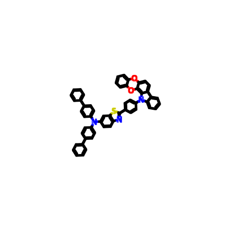 c1ccc(-c2ccc(N(c3ccc(-c4ccccc4)cc3)c3ccc4nc(-c5ccc(-n6c7ccccc7c7ccc8c(c76)Oc6ccccc6O8)cc5)sc4c3)cc2)cc1